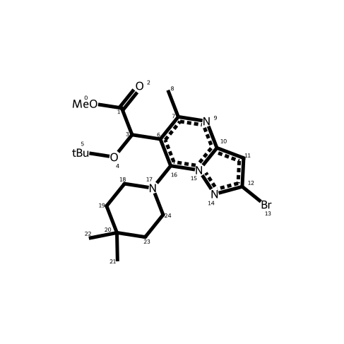 COC(=O)C(OC(C)(C)C)c1c(C)nc2cc(Br)nn2c1N1CCC(C)(C)CC1